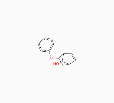 OC1C2C=CC1C(Oc1ccccc1)C2